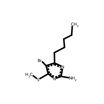 CCCCCc1nc(N)nc(SC)c1Br